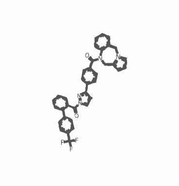 O=C(c1ccc(-c2ccn(C(=O)c3ccccc3-c3ccc(C(F)(F)F)cc3)n2)cc1)N1Cc2cccn2Cc2ccccc21